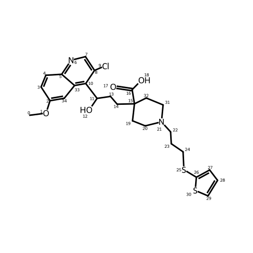 COc1ccc2ncc(Cl)c(C(O)CCC3(C(=O)O)CCN(CCCSc4cccs4)CC3)c2c1